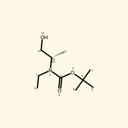 CCN(C(=O)OC(C)(C)C)[C@@H](C)CO